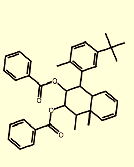 Cc1ccc(C(C)(C)C)cc1C1C(OC(=O)c2ccccc2)C(OC(=O)c2ccccc2)C(C)C2(C)C=CC=CC12